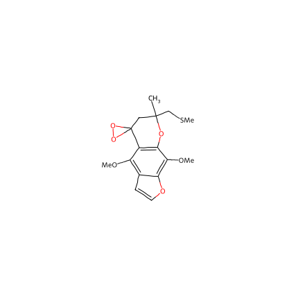 COc1c2c(c(OC)c3occc13)OC(C)(CSC)CC21OO1